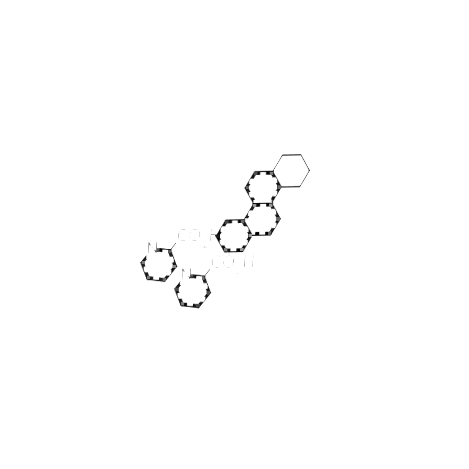 O=C(O)c1ccccn1.O=C(O)c1ccccn1.c1ccc2c(c1)ccc1c3c(ccc12)CCCC3